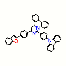 c1ccc(-c2ccccc2-c2cc(-c3ccc(-c4cc5ccccc5o4)cc3)nc(-c3ccc(-n4c5ccccc5c5ccccc54)cc3)n2)cc1